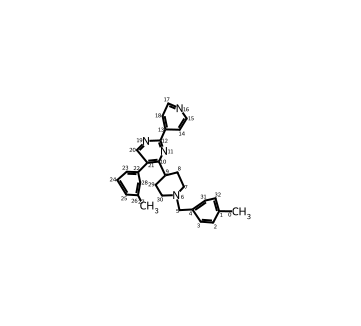 Cc1ccc(CN2CCC(c3nc(-c4ccncc4)ncc3-c3cccc(C)c3)CC2)cc1